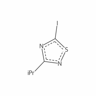 CC(C)c1nsc(I)n1